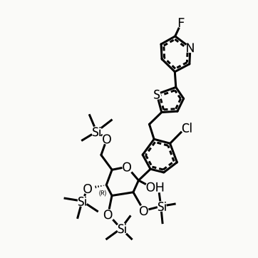 C[Si](C)(C)OCC1OC(O)(c2ccc(Cl)c(Cc3ccc(-c4ccc(F)nc4)s3)c2)C(O[Si](C)(C)C)C(O[Si](C)(C)C)[C@@H]1O[Si](C)(C)C